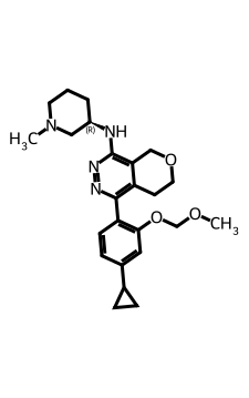 COCOc1cc(C2CC2)ccc1-c1nnc(N[C@@H]2CCCN(C)C2)c2c1CCOC2